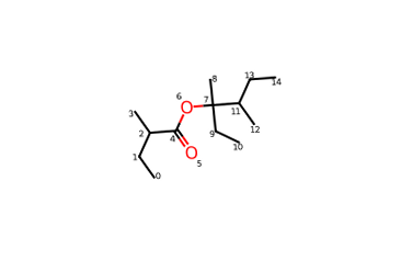 CCC(C)C(=O)OC(C)(CC)C(C)CC